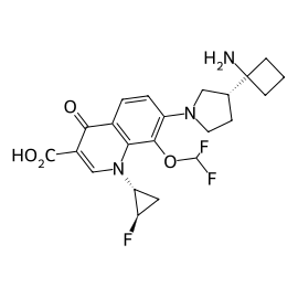 NC1([C@@H]2CCN(c3ccc4c(=O)c(C(=O)O)cn([C@@H]5C[C@H]5F)c4c3OC(F)F)C2)CCC1